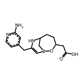 Nc1cc(CC2=CB3CC(CCC(CC(=O)O)O3)N2)ccn1